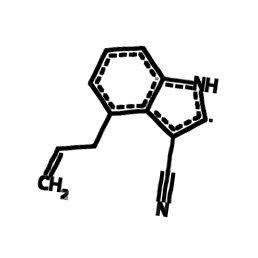 C=CCc1cccc2[nH][c]c(C#N)c12